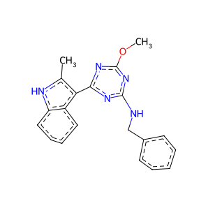 COc1nc(NCc2ccccc2)nc(-c2c(C)[nH]c3ccccc23)n1